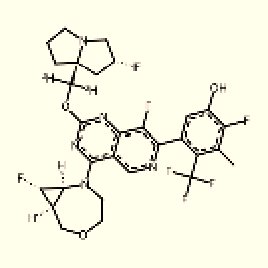 [2H]C([2H])(Oc1nc(N2CCOC[C@H]3[C@H](F)[C@H]32)c2cnc(-c3cc(O)c(F)c(C)c3C(F)(F)F)c(F)c2n1)[C@@]12CCCN1C[C@H](F)C2